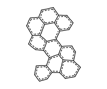 c1ccc2c(c1)c1cccc3ccc4c5c6cccc7ccc8ccc9ccc(c2c4c31)c5c9c8c76